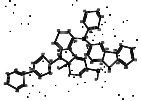 COC1=CCC2(C)C(=C1)c1c(N(c3ccccc3)c3ccc4sc5ccccc5c4c3)cccc1N2c1ccc(-c2ccccc2)cc1